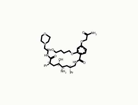 COCCCCOc1cc(OCC(N)=O)ccc1C(=O)NC[C@@H](C[C@H](N)[C@@H](O)C[C@H](C(=O)NCCN1CCOCC1)C(C)C)C(C)C